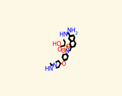 CCC(C(=O)O)S(=O)(=O)N(Cc1ccc2ccc(C(=N)N)cc2c1)c1ccc(OC2CCN(C(C)=N)CC2)cc1